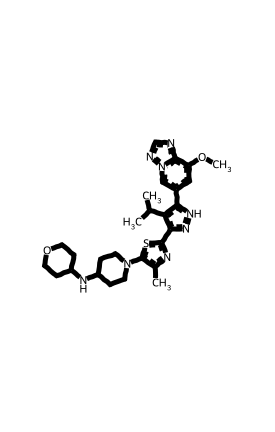 COc1cc(-c2[nH]nc(-c3nc(C)c(N4CCC(NC5CCOCC5)CC4)s3)c2C(C)C)cn2ncnc12